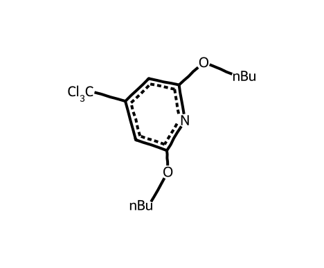 CCCCOc1cc(C(Cl)(Cl)Cl)cc(OCCCC)n1